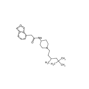 CC(CCN1CCC(NC(=O)Cc2cccc3cocc23)CC1)CC(C)(C)C